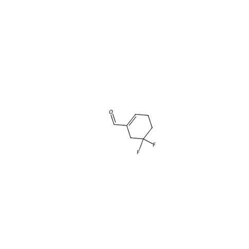 O=CC1=CCCC(F)(F)C1